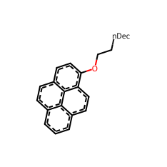 CCCCCCCCCCCCOc1ccc2ccc3cccc4ccc1c2c34